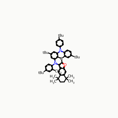 Cc1cc(C(C)(C)C)ccc1N1c2cc(C(C)(C)C)cc3c2B(c2cc(C(C)(C)C)ccc2N3c2ccc(C(C)(C)C)cc2)c2oc3cc4c(cc3c21)C(C)(C)CCC4(C)C